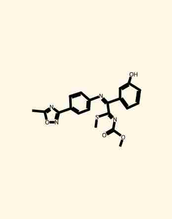 COC(=O)N=C(SC)C(=Nc1ccc(-c2noc(C)n2)cc1)c1cccc(O)c1